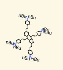 CCCCN(CCCC)c1ccc(C=Cc2ccc3c(C=Cc4ccc(N(CCCC)CCCC)cc4)c4cc(C=Cc5ccc(N(CCCC)CCCC)cc5)ccc4c(C=Cc4ccc(N(CCCC)CCCC)cc4)c3c2)cc1